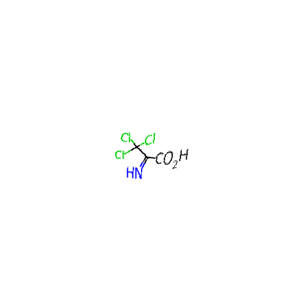 N=C(C(=O)O)C(Cl)(Cl)Cl